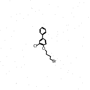 Clc1cc(-c2ccccc2)ccc1OCCCCBr